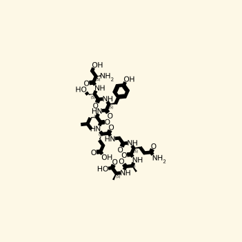 CC(C)C[C@H](NC(=O)[C@H](Cc1ccc(O)cc1)NC(=O)[C@H](CO)NC(=O)[C@@H](N)CO)C(=O)N[C@@H](CCC(=O)O)C(=O)NCC(=O)N[C@@H](CCC(N)=O)C(=O)N[C@@H](C)C(=O)N[C@@H](C)C(=O)O